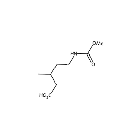 COC(=O)NCCC(C)CC(=O)O